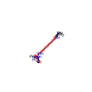 CC(C)NC(=O)[C@H](C)NC(=O)[C@H](CCC(=O)NCCOCCOCCOCCOCCOCCOCCOCCOC(=O)Nc1ccc(C[N+](C)(C)C)cc1)NC(=O)CCCN1C(=O)C=CC1=O